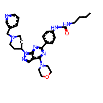 CCCCNC(=O)Nc1ccc(-c2nc(N3CCOCC3)c3cnn(C4CCN(Cc5cccnc5)CC4)c3n2)cc1